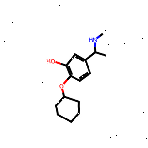 CNC(C)c1ccc(OC2CCCCC2)c(O)c1